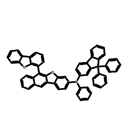 c1ccc(N(c2ccc3c(c2)C(c2ccccc2)(c2ccccc2)c2ccccc2-3)c2ccc3c(c2)oc2c(-c4cccc5c4oc4ccccc45)c4ccccc4cc23)cc1